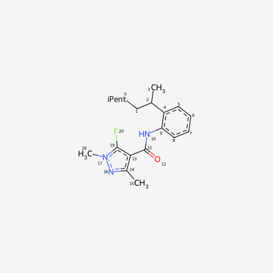 CCCC(C)CC(C)c1ccccc1NC(=O)c1c(C)nn(C)c1F